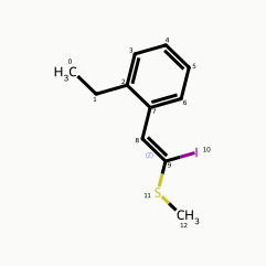 CCc1ccccc1/C=C(\I)SC